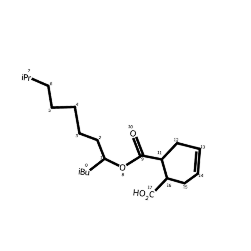 CCC(C)C(CCCCCC(C)C)OC(=O)C1CC=CCC1C(=O)O